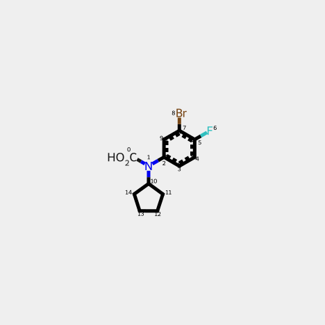 O=C(O)N(c1ccc(F)c(Br)c1)C1CCCC1